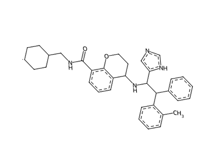 Cc1ccccc1C(c1ccccc1)C(NC1CCOc2c(C(=O)NCC3CC[CH]CC3)cccc21)c1cnc[nH]1